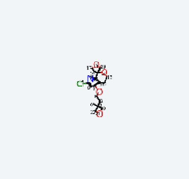 CC1(CCOc2cc(Cl)nc3c2CCOC32CCOC2)COC1